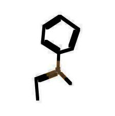 C/C=S(\C)c1ccccc1